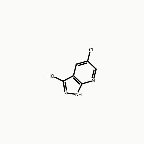 Oc1n[nH]c2ncc(Cl)cc12